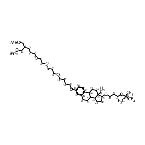 COCC(CCCOCCSSCCOCCCCOc1ccc2c(c1)CCC1C2CCC2(C)C(OCCCOC(C(F)(F)F)(C(F)(F)F)C(F)(F)F)CCC12)COC(C)C